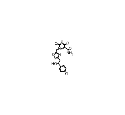 Cn1c(=O)c(C(N)=O)cn(Cc2nc(C[C@H](O)c3ccc(Cl)cc3)no2)c1=O